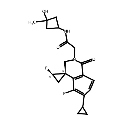 CC1(O)CC(NC(=O)CN2C[C@]3(C[C@H]3F)c3c(ccc(C4CC4)c3F)C2=O)C1